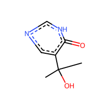 CC(C)(O)c1cnc[nH]c1=O